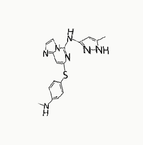 CNc1ccc(Sc2cc3nccn3c(Nc3cc(C)[nH]n3)n2)cc1